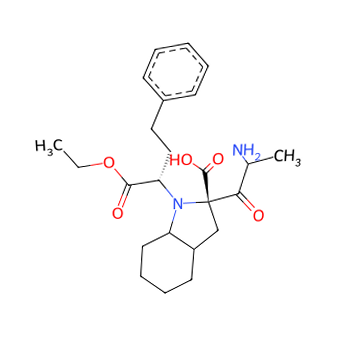 CCOC(=O)[C@H](CCc1ccccc1)N1C2CCCCC2C[C@@]1(C(=O)O)C(=O)C(C)N